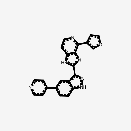 c1cc(-c2ccc3[nH]nc(-c4nc5c(-c6ccoc6)nccc5[nH]4)c3c2)ccn1